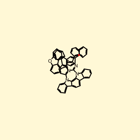 c1ccc(-c2ccc(-n3c4ccccc4c4ccc5c6ccccc6n(-c6nc(-c7ccccc7)nc(-c7cccc8oc9cccc(-c%10cccc(-c%11ccccc%11)c%10)c9c78)n6)c5c43)cc2)cc1